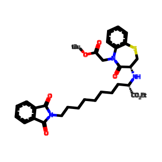 CCOC(=O)[C@H](CCCCCCCCN1C(=O)c2ccccc2C1=O)N[C@H]1CSc2ccccc2N(CC(=O)OC(C)(C)C)C1=O